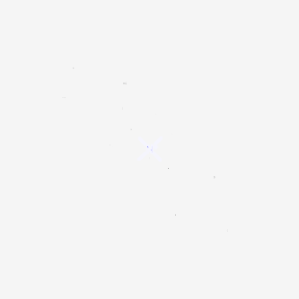 CC(C)(c1ccccc1)[N+](C)(C)C(C)(C)c1ccccc1.[Cl-]